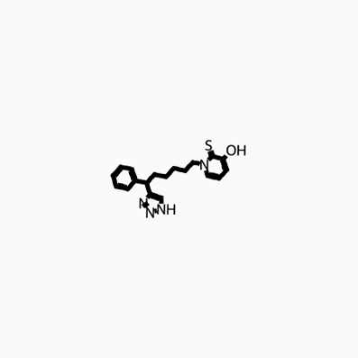 Oc1cccn(CCCCCC(c2ccccc2)c2c[nH]nn2)c1=S